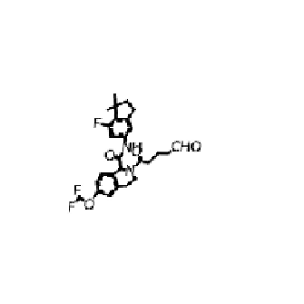 CC1(C)CCc2cc(NC(=O)C3c4ccc(OC(F)F)cc4CCN3C(=O)CCCC=O)cc(F)c21